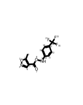 Cc1oncc1C(=O)ONc1ccc(C(F)(F)F)cc1